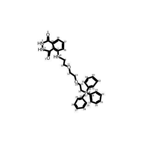 O=c1[nH][nH]c(=O)c2c(NCCOCCOCC[PH](c3ccccc3)(c3ccccc3)c3ccccc3)cccc12